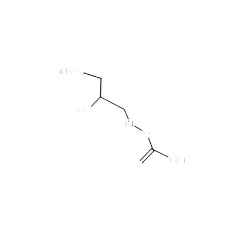 CCCCCCCCC(O)CNOC(=O)CCCC